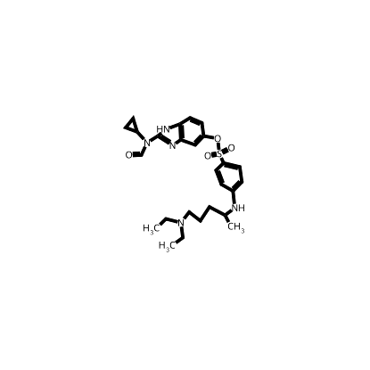 CCN(CC)CCCC(C)Nc1ccc(S(=O)(=O)Oc2ccc3[nH]c(N(C=O)C4CC4)nc3c2)cc1